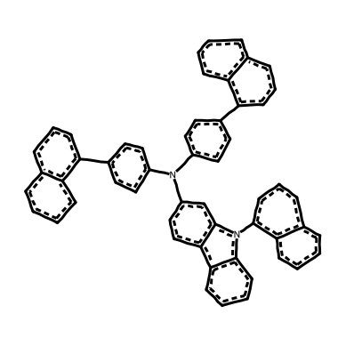 c1ccc2c(-c3ccc(N(c4ccc(-c5cccc6ccccc56)cc4)c4ccc5c6ccccc6n(-c6cccc7ccccc67)c5c4)cc3)cccc2c1